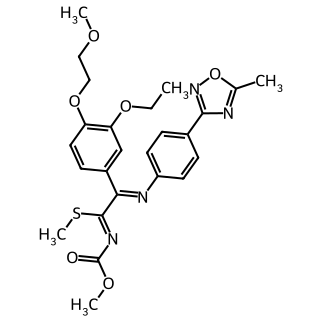 CCOc1cc(C(=N\c2ccc(-c3noc(C)n3)cc2)/C(=N/C(=O)OC)SC)ccc1OCCOC